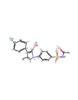 CC(=O)NS(=O)(=O)c1ccc(-n2nc(C)c(-c3ccc(Cl)cc3)c2O)nc1